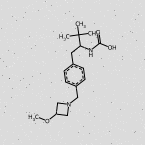 COC1CN(Cc2ccc(CC(NC(=O)O)C(C)(C)C)cc2)C1